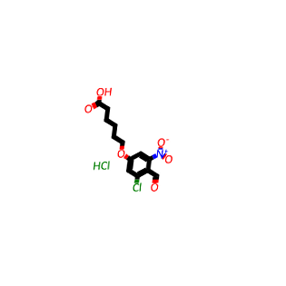 Cl.O=Cc1c(Cl)cc(OCCCCCC(=O)O)cc1[N+](=O)[O-]